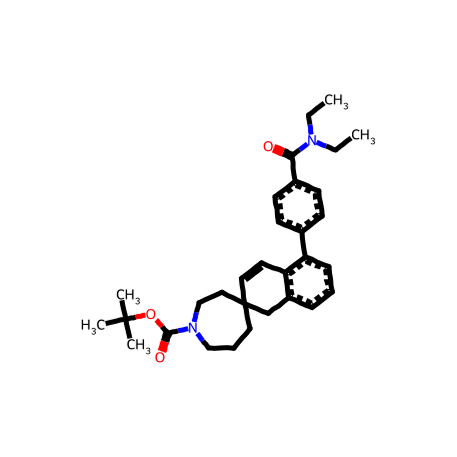 CCN(CC)C(=O)c1ccc(-c2cccc3c2C=CC2(CCCN(C(=O)OC(C)(C)C)CC2)C3)cc1